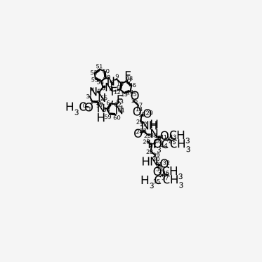 COc1cnc(-c2nn(Cc3c(F)cc(OCCOC(=O)CNC(=O)[C@@H](CCCCNC(=O)OC(C)(C)C)NC(=O)OC(C)(C)C)cc3F)c3ccccc23)nc1Nc1ccnc(F)c1